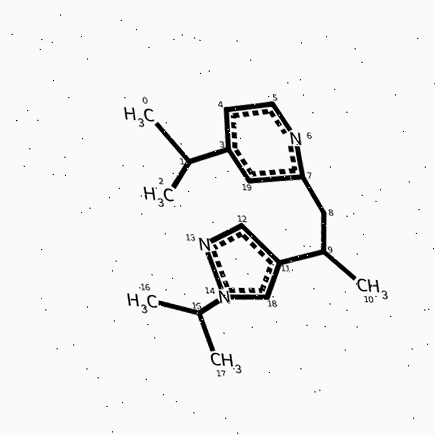 CC(C)c1ccnc(CC(C)c2cnn(C(C)C)c2)c1